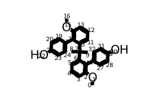 COc1cccc(C(C)(C)c2cccc(OC)c2-c2ccc(O)cc2)c1-c1ccc(O)cc1